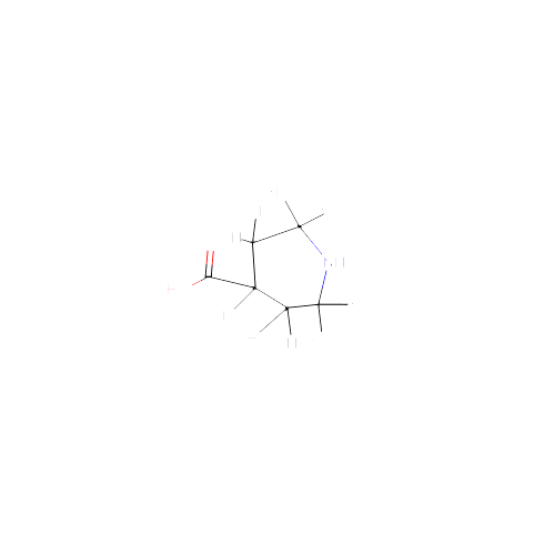 [2H]C1([2H])NC([2H])([2H])C([2H])([2H])C([2H])(C(=O)O)C1([2H])[2H]